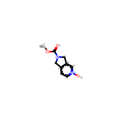 CC(C)(C)OC(=O)N1Cc2cc[n+]([O-])cc2C1